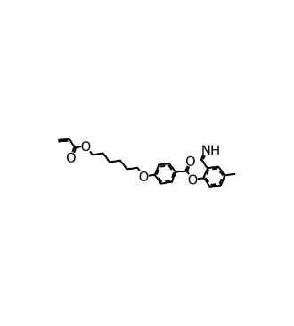 C=CC(=O)OCCCCCCOc1ccc(C(=O)Oc2ccc(C)cc2C=N)cc1